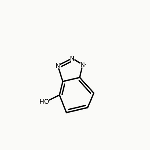 Oc1cccc2c1N=N[N]2